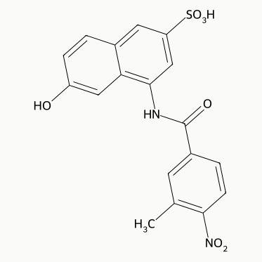 Cc1cc(C(=O)Nc2cc(S(=O)(=O)O)cc3ccc(O)cc23)ccc1[N+](=O)[O-]